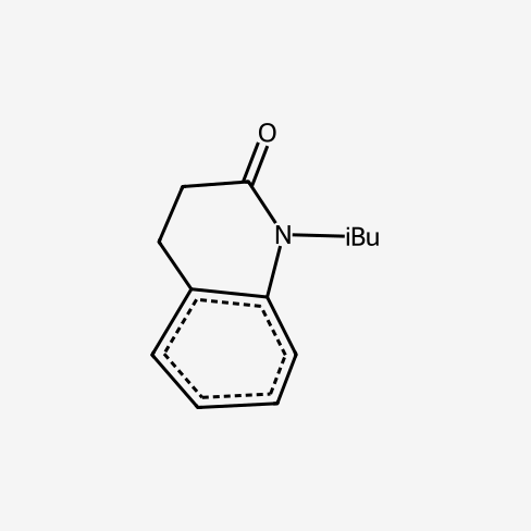 CCC(C)N1C(=O)CCc2ccccc21